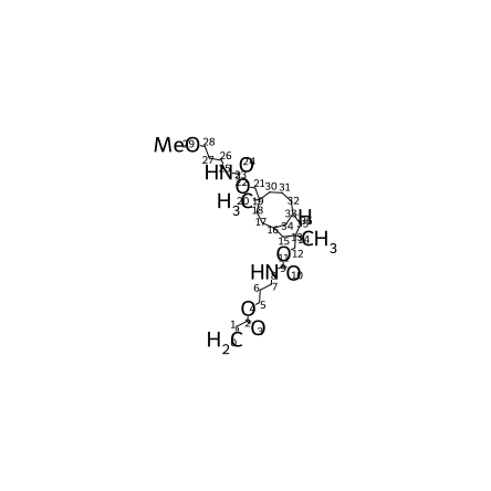 C=CC(=O)OCCCNC(=O)OCC1(C)CC2CCC(C)(COC(=O)NCCCOC)CCC[C@H](C2)C1